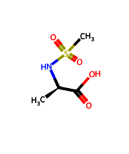 C[C@@H](NS(C)(=O)=O)C(=O)O